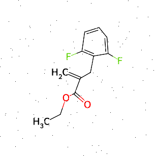 C=C(Cc1c(F)cccc1F)C(=O)OCC